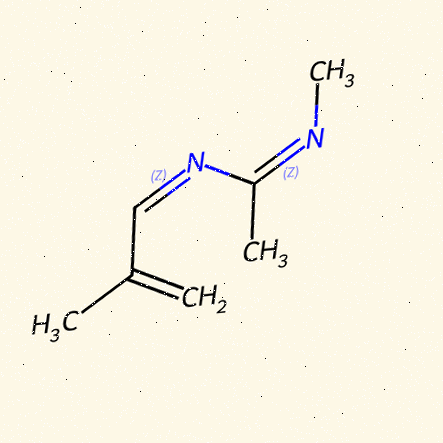 C=C(C)/C=N\C(C)=N/C